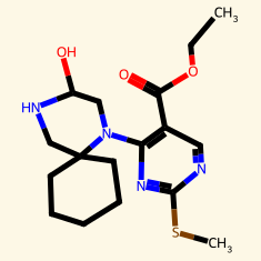 CCOC(=O)c1cnc(SC)nc1N1CC(O)NCC12CCCCC2